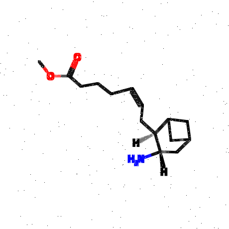 COC(=O)CCC/C=C\C[C@H]1C2CC(C2)C[C@@H]1N